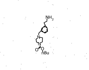 CCCCOC(=O)N1CCN(Cc2cccc(CCN)c2)CC1